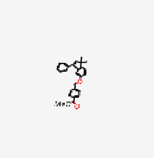 COC(=O)c1ccc(COc2ccc3c(c2)C(c2ccccc2)=CC3(C)C)cc1